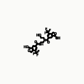 O=C(NCCN(CCO)C(=O)c1cc2c(c(C(F)(F)F)c1)COB2O)c1cc2c(c(C(F)(F)F)c1)COB2O